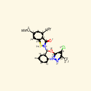 COc1cc(C(C)C)c2c(=O)n(C(Oc3[nH]nc(C(F)(F)F)c3Cl)c3ccccc3)sc2c1